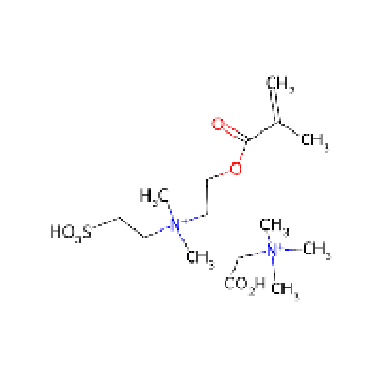 C=C(C)C(=O)OCC[N+](C)(C)CCS(=O)(=O)O.C[N+](C)(C)CC(=O)O